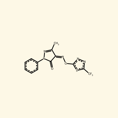 CC1=NN(c2ccccc2)C(=O)C1=NOc1nnc(C(F)(F)F)s1